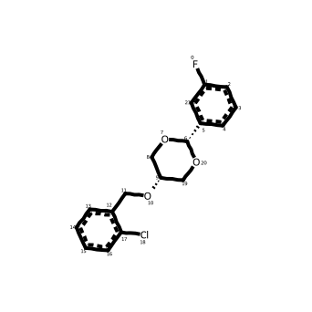 Fc1cccc([C@H]2OC[C@@H](OCc3ccccc3Cl)CO2)c1